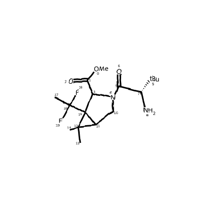 COC(=O)C1N(C(=O)[C@@H](N)C(C)(C)C)CC2C(C)(C)C12C(C)(F)F